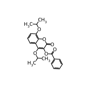 CC(C)Oc1c(OC(=O)c2ccccc2)c(=O)oc2c(OC(C)C)cccc12